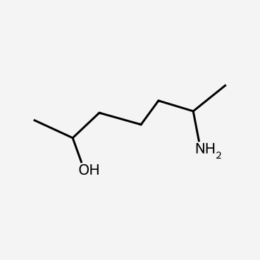 CC(N)CCCC(C)O